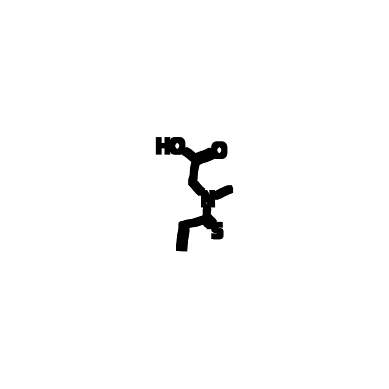 C=CC(=S)N(C)CC(=O)O